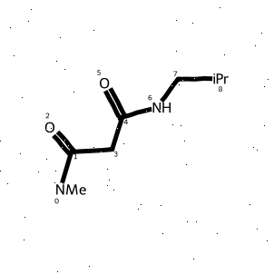 CNC(=O)CC(=O)NCC(C)C